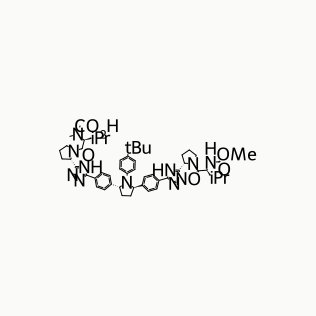 COC(=O)N[C@H](C(=O)N1CCC[C@H]1c1nnc(-c2ccc([C@H]3CC[C@H](c4ccc(-c5nnc([C@@H]6CCCN6C(=O)[C@H](C(C)C)N(C)C(=O)O)[nH]5)cc4)N3c3ccc(C(C)(C)C)cc3)cc2)[nH]1)C(C)C